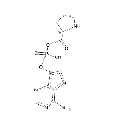 Nc1ncnc2c1ncn2OP(=O)(O)OC(=O)[C@@H]1CCCN1